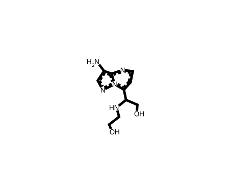 Nc1cnn2c(C(CO)NCCO)ccnc12